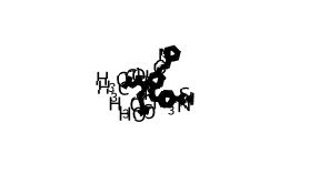 CC(C)(C)CC(=O)c1c(CC(C)(C)C(=O)O)n(Cc2ccc(-c3nccs3)cc2)c2ccc(OCc3ccccn3)cc12